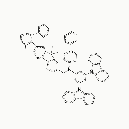 CC1(C)c2cc(CN(c3ccc(-c4ccccc4)cc3)c3cc(-n4c5ccccc5c5ccccc54)cc(-n4c5ccccc5c5ccccc54)c3)ccc2-c2cc3c(cc21)-c1c(-c2ccccc2)cccc1C3(C)C